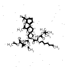 C=CCCCCC[C@H](NC(=O)OC(C)(C)C)C(=O)N1C[C@@]2(CCc3c(c(C)nc4c(C(F)(F)F)cccc34)O2)C[C@H]1C(=O)N[C@]1(C(=O)OCC)C[C@H]1C=C